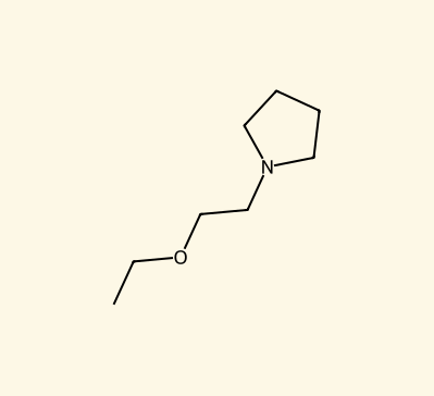 CCOCCN1CCCC1